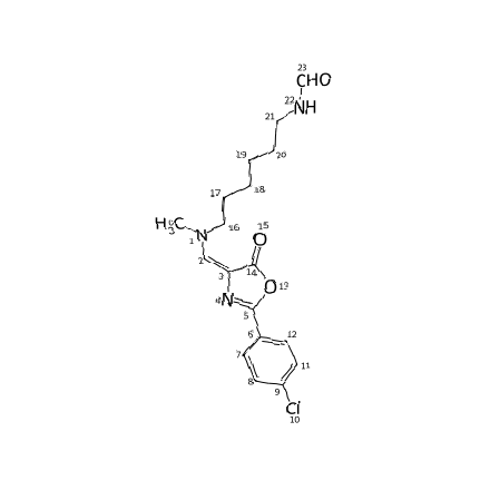 CN(C=C1N=C(c2ccc(Cl)cc2)OC1=O)CCCCCCNC=O